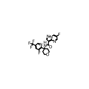 O=C(NC1(c2ncc(C(F)(F)F)cc2F)CCOCC1)c1cnn2cc(F)cnc12